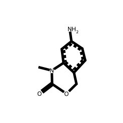 CN1C(=O)OCc2ccc(N)cc21